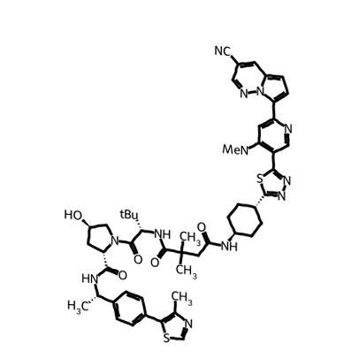 CNc1cc(-c2ccc3cc(C#N)cnn23)ncc1-c1nnc([C@H]2CC[C@H](NC(=O)CC(C)(C)C(=O)N[C@H](C(=O)N3C[C@H](O)C[C@H]3C(=O)N[C@@H](C)c3ccc(-c4scnc4C)cc3)C(C)(C)C)CC2)s1